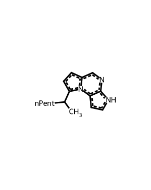 CCCCCC(C)c1ccc2cnc3[nH]ccc3n12